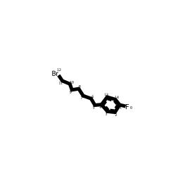 Fc1ccc(CCCCCCCBr)cc1